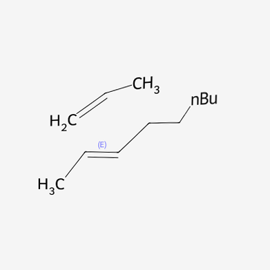 C/C=C/CCCCCC.C=CC